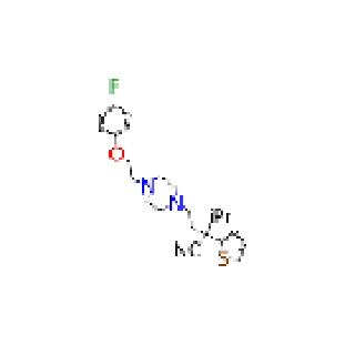 CC(C)C(C#N)(CCN1CCN(CCOc2ccc(F)cc2)CC1)c1cccs1